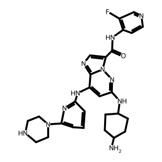 NC1CCC(Nc2cc(Nc3cccc(N4CCNCC4)n3)c3ncc(C(=O)Nc4ccncc4F)n3n2)CC1